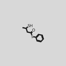 CC(S)CC(=O)Sc1ccccc1